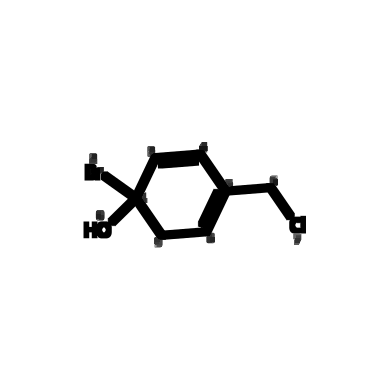 OC1(Br)C=CC(CCl)=CC1